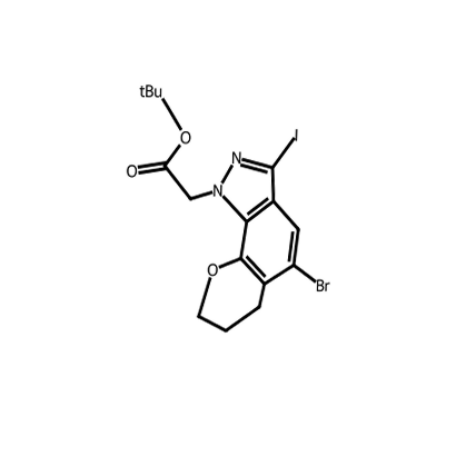 CC(C)(C)OC(=O)Cn1nc(I)c2cc(Br)c3c(c21)OCCC3